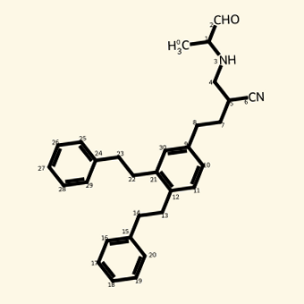 CC(C=O)NCC(C#N)CCc1ccc(CCc2ccccc2)c(CCc2ccccc2)c1